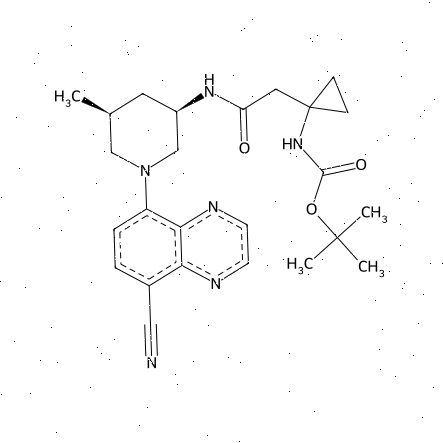 C[C@H]1C[C@@H](NC(=O)CC2(NC(=O)OC(C)(C)C)CC2)CN(c2ccc(C#N)c3nccnc23)C1